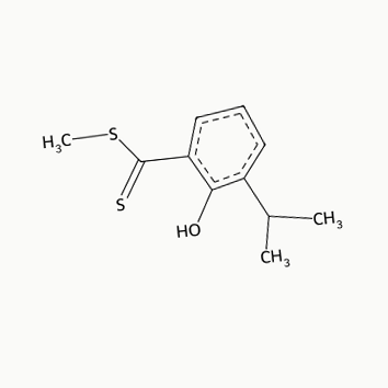 CSC(=S)c1cccc(C(C)C)c1O